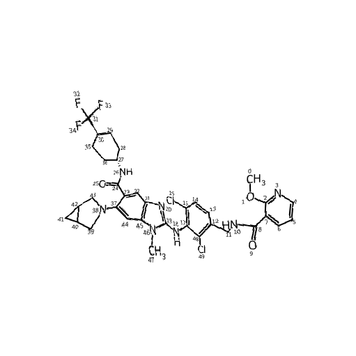 COc1ncccc1C(=O)NCc1ccc(Cl)c(Nc2nc3cc(C(=O)N[C@H]4CC[C@H](C(F)(F)F)CC4)c(N4CC5CC5C4)cc3n2C)c1Cl